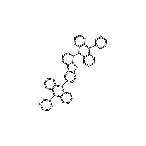 c1cncc(-c2c3ccccc3c(-c3ccc4sc5c(-c6c7ccccc7c(-c7cccnc7)c7ccccc67)cccc5c4c3)c3ccccc23)c1